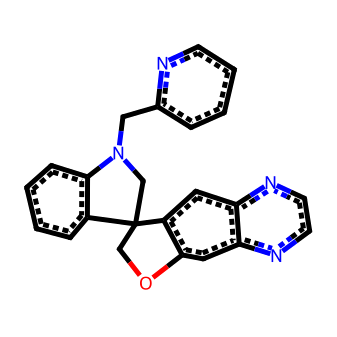 c1ccc(CN2CC3(COc4cc5nccnc5cc43)c3ccccc32)nc1